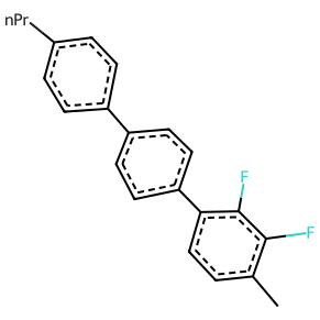 CCCc1ccc(-c2ccc(-c3ccc(C)c(F)c3F)cc2)cc1